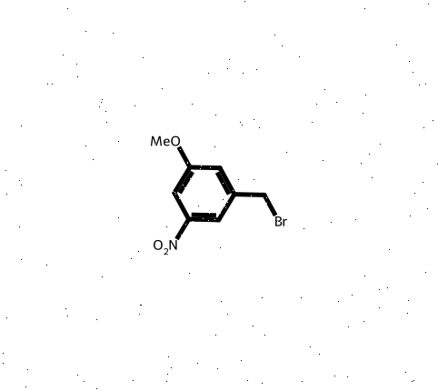 COc1cc(CBr)cc([N+](=O)[O-])c1